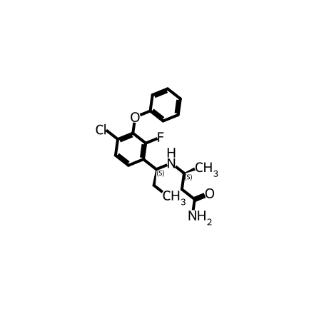 CC[C@H](N[C@@H](C)CC(N)=O)c1ccc(Cl)c(Oc2ccccc2)c1F